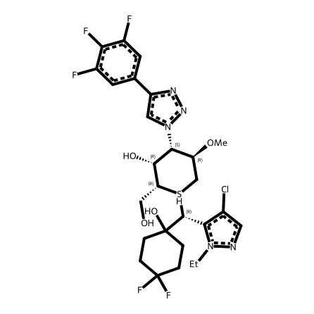 CCn1ncc(Cl)c1[C@@H]([SH]1C[C@H](OC)[C@@H](n2cc(-c3cc(F)c(F)c(F)c3)nn2)[C@@H](O)[C@H]1CO)C1(O)CCC(F)(F)CC1